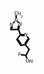 Cn1ncc(-c2ccc([CH]C(O)F)cn2)n1